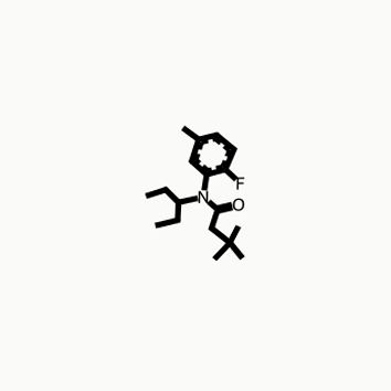 CCC(CC)N(C(=O)CC(C)(C)C)c1cc(C)ccc1F